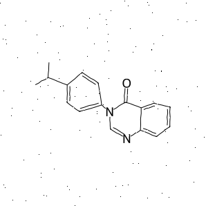 CC(C)c1ccc(-n2cnc3ccccc3c2=O)cc1